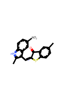 Cc1ccc2c(c1)C(=O)/C(=C\c1c(C)[nH]c3ccc([N+](=O)[O-])cc13)S2